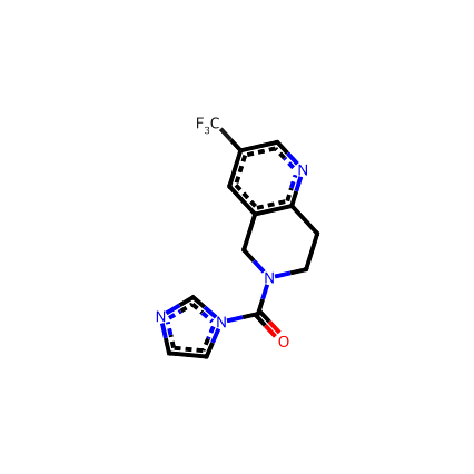 O=C(N1CCc2ncc(C(F)(F)F)cc2C1)n1ccnc1